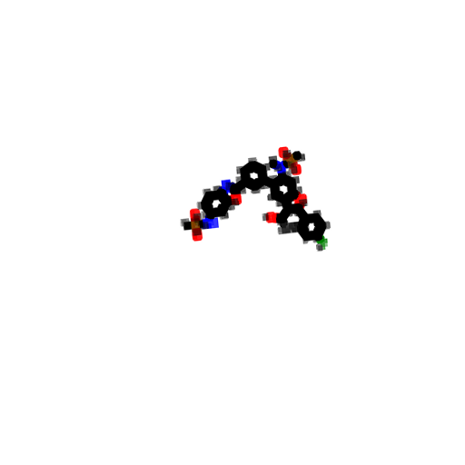 CNC(=O)c1c(-c2ccc(F)cc2)oc2cc(N(C)S(C)(=O)=O)c(-c3cccc(-c4nc5ccc(NS(C)(=O)=O)cc5o4)c3)cc12